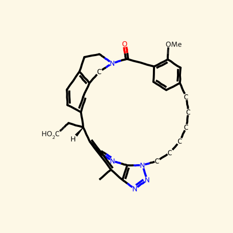 COc1cc2ccc1C(=O)N1CCc3ccc(cc3C1)[C@@H](CC(=O)O)c1cnc3c(nnn3CCCCCC2)c1C